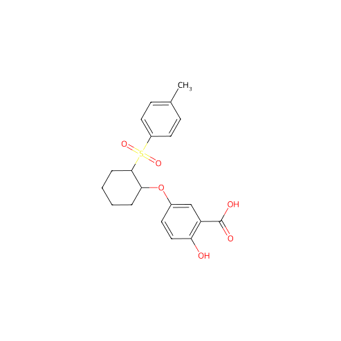 Cc1ccc(S(=O)(=O)C2CCCCC2Oc2ccc(O)c(C(=O)O)c2)cc1